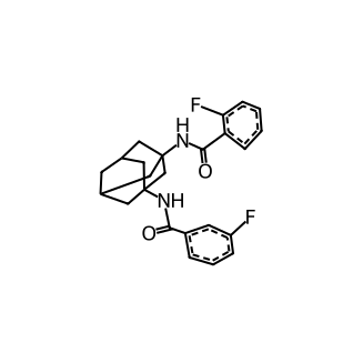 O=C(NC12CC3CC(C1)CC(NC(=O)c1ccccc1F)(C3)C2)c1cccc(F)c1